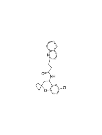 O=C(CCc1ccc2ccccc2n1)NC1CC2(CCC2)Oc2ccc(Cl)cc21